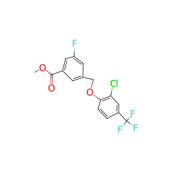 COC(=O)c1cc(F)cc(COc2ccc(C(F)(F)F)cc2Cl)c1